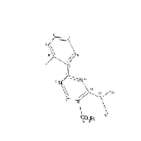 CCOC(=O)c1cnc(-c2ccccc2C)nc1N(C)C